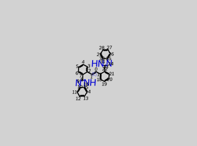 C(=C\c1ccccc1-c1nc2ccccc2[nH]1)/c1ccccc1-c1nc2ccccc2[nH]1